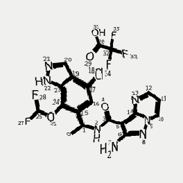 CC(NC(=O)c1c(N)nn2cccnc12)c1cc(Cl)c2cn[nH]c2c1OC(F)F.O=C(O)C(F)(F)F